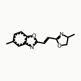 Cc1ccc2oc(/C=C/C3=NC(C)CO3)nc2c1